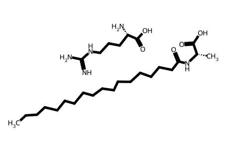 CCCCCCCCCCCCCCCCCC(=O)N[C@@H](C)C(=O)O.N=C(N)NCCC[C@H](N)C(=O)O